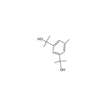 Cc1cc(C(C)(C)O)cc(C(C)(C)O)c1